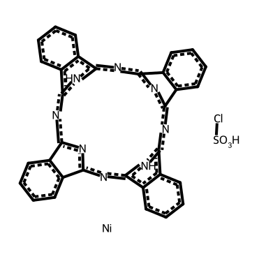 O=S(=O)(O)Cl.[Ni].c1ccc2c(c1)-c1nc-2nc2[nH]c(nc3nc(nc4[nH]c(n1)c1ccccc41)-c1ccccc1-3)c1ccccc21